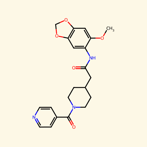 COc1cc2c(cc1NC(=O)CC1CCN(C(=O)c3ccncc3)CC1)OCO2